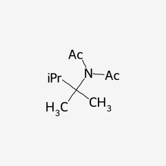 CC(=O)N(C(C)=O)C(C)(C)C(C)C